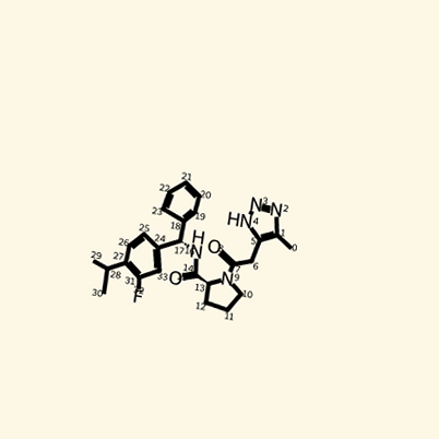 Cc1nn[nH]c1CC(=O)N1CCC[C@H]1C(=O)N[C@@H](c1ccccc1)c1ccc(C(C)C)c(F)c1